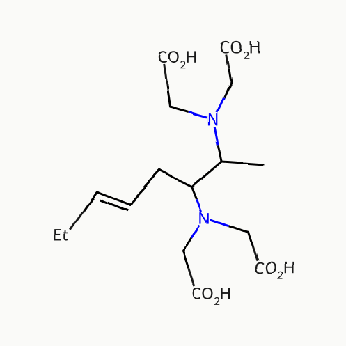 CCC=CCC(C(C)N(CC(=O)O)CC(=O)O)N(CC(=O)O)CC(=O)O